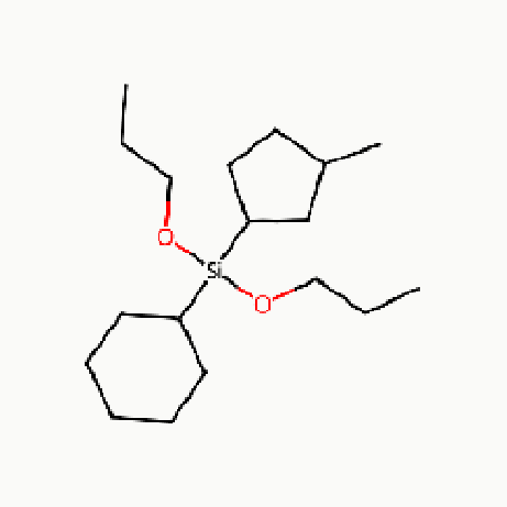 CCCO[Si](OCCC)(C1CCCCC1)C1CCC(C)C1